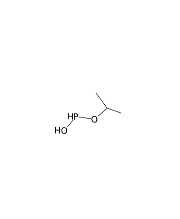 CC(C)OPO